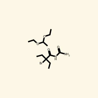 CCC(Br)(CC)C(=O)NC(N)=O.CCOC(C)OCC